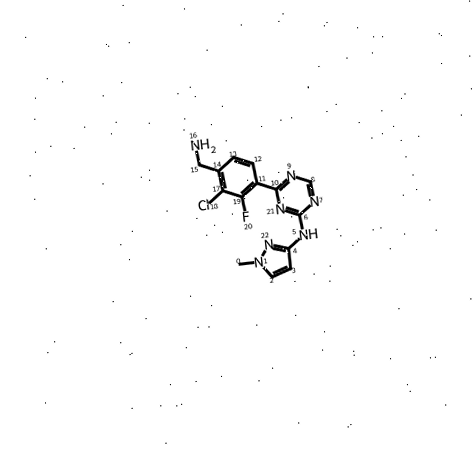 Cn1ccc(Nc2ncnc(-c3ccc(CN)c(Cl)c3F)n2)n1